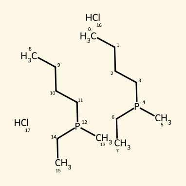 CCCCP(C)CC.CCCCP(C)CC.Cl.Cl